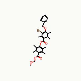 COCOC(=O)c1c(C)c(C)c(OC(=O)c2c(C)c(C)c(OCc3ccccc3)c(Br)c2C)c(C)c1C